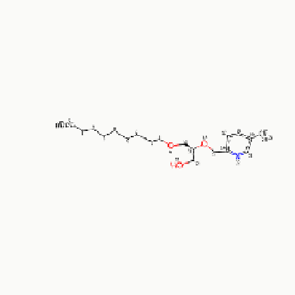 CCCCCCCCCCCCCCCCCCOC[C@H](CO)OCc1ccc(C(F)(F)F)cn1